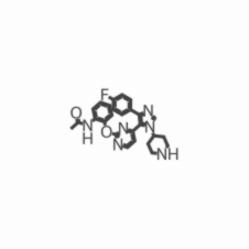 CC(=O)Nc1ccccc1Oc1nccc(-c2c(-c3ccc(F)cc3)ncn2C2CCNCC2)n1